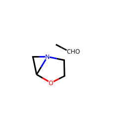 C1CN2CC2O1.CC=O